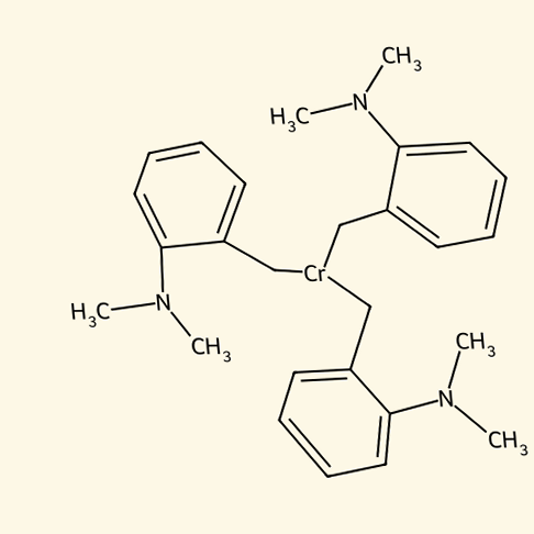 CN(C)c1ccccc1[CH2][Cr]([CH2]c1ccccc1N(C)C)[CH2]c1ccccc1N(C)C